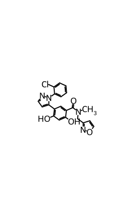 CN(Cc1ccon1)C(=O)c1cc(-c2ccnn2-c2ccccc2Cl)c(O)cc1O